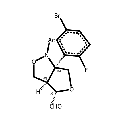 CC(=O)N1OC[C@@H]2[C@@H](C=O)OC[C@@]21c1cc(Br)ccc1F